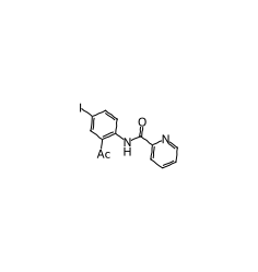 CC(=O)c1cc(I)ccc1NC(=O)c1ccccn1